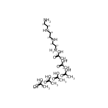 CC(=O)O.CC(=O)O.CC(=O)O.CC(=O)O.CC(=O)O.CC(=O)O.NCCNCCNCCN.[Gd]